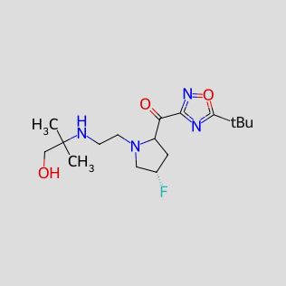 CC(C)(CO)NCCN1C[C@@H](F)CC1C(=O)c1noc(C(C)(C)C)n1